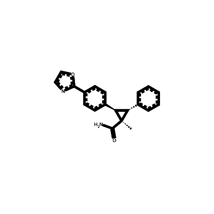 C[C@@]1(C(N)=O)[C@@H](c2ccccc2)[C@@H]1c1ccc(-c2ncco2)cc1